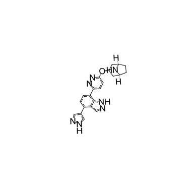 c1n[nH]cc1-c1ccc(-c2ccc(O[C@H]3C[C@H]4CC[C@@H](C3)N4)nn2)c2[nH]ncc12